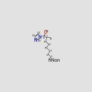 CCCCCCCCCCCCCCCC(C)C(=O)n1ccnc1